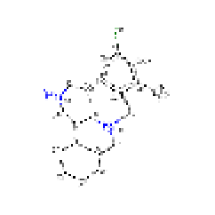 Fc1ccc(CN(CC2CCCCC2)C2CCNCC2)c(C(F)(F)F)c1